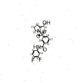 O=C(Nc1ccc(F)c(F)c1)c1cccc(S(=O)(=O)N2CCCC2CO)c1